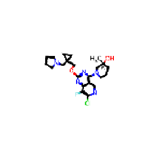 C[C@@]1(O)CCCN(c2nc(OCC3(CN4CCCC4)CC3)nc3c(F)c(Cl)ncc23)C1